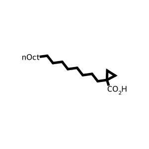 CCCCCCCCCCCCCCCCC1(C(=O)O)CC1